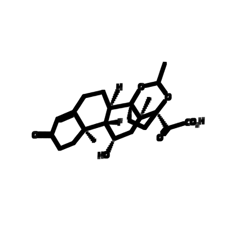 CC1O[C@@]2(C(=O)C(=O)O)CC[C@@]3(O1)[C@@H]1CCC4=CC(=O)CC[C@]4(C)[C@@]1(F)[C@@H](O)C[C@]23C